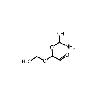 CCOC([C]=O)OC(C)N